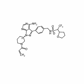 C=CC(=O)N1CCC[C@@H](n2nc(-c3ccc(CNS(=O)(=O)C(C4CCCO4)C(F)(F)F)cc3)c3c(N)ncnc32)C1